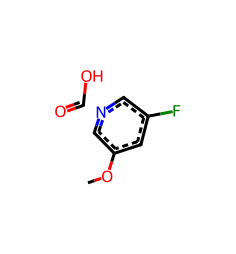 COc1cncc(F)c1.O=CO